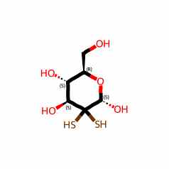 OC[C@H]1O[C@H](O)C(S)(S)[C@@H](O)[C@@H]1O